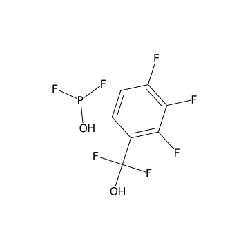 OC(F)(F)c1ccc(F)c(F)c1F.OP(F)F